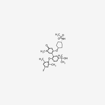 Cc1cc(F)cc(C)c1Oc1ccc(C(C)(C)O)cc1-c1cn(C)c(=O)cc1O[C@H]1CC[C@H](NS(C)(=O)=O)CC1